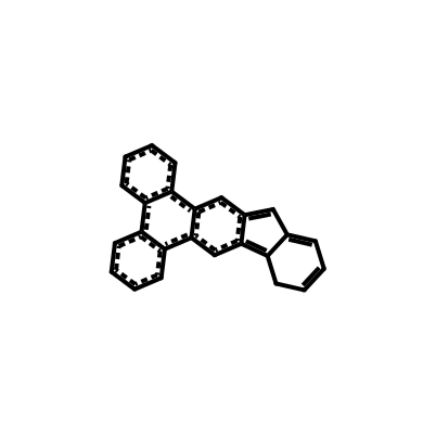 C1=CCC2=c3cc4c5ccccc5c5ccccc5c4cc3=CC2=C1